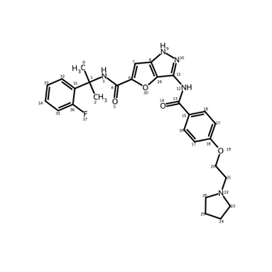 CC(C)(NC(=O)c1cc2[nH]nc(NC(=O)c3ccc(OCCN4CCCC4)cc3)c2o1)c1ccccc1F